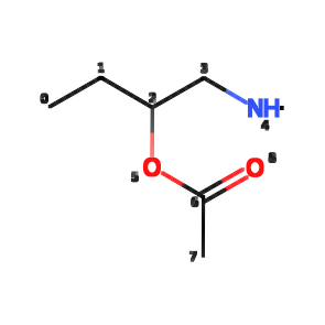 CCC(C[NH])OC(C)=O